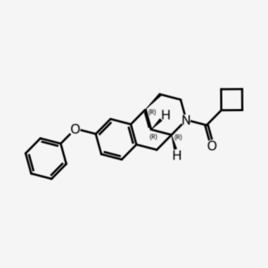 O=C(C1CCC1)N1CC[C@]23CCCC[C@H]2[C@H]1Cc1ccc(Oc2ccccc2)cc13